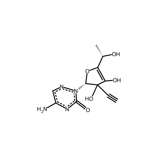 C#CC1(O)C(O)=C([C@H](C)O)O[C@H]1n1ncc(N)nc1=O